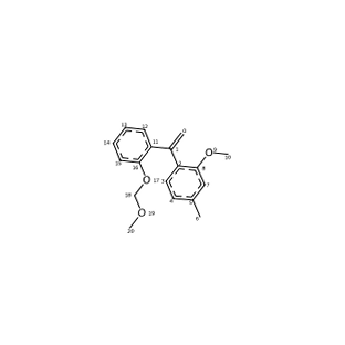 C=C(c1ccc(C)cc1OC)c1ccccc1OCOC